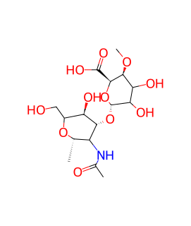 CO[C@H]1C(O)C(O)[C@H](O[C@@H]2C(NC(C)=O)[C@H](C)OC(CO)[C@H]2O)O[C@H]1C(=O)O